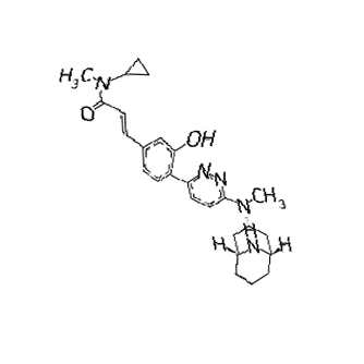 CN(C(=O)/C=C/c1ccc(-c2ccc(N(C)[C@H]3C[C@H]4CCC[C@@H](C3)N4)nn2)c(O)c1)C1CC1